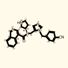 N#Cc1ccc(Cn2cncc2CN(C(=O)c2cncc3ccccc23)[C@@H]2CCNC2)cc1